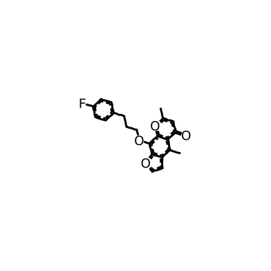 Cc1cc(=O)c2c(C)c3ccoc3c(OCCCc3ccc(F)cc3)c2o1